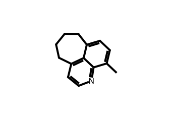 Cc1ccc2c3c(ccnc13)CCCC2